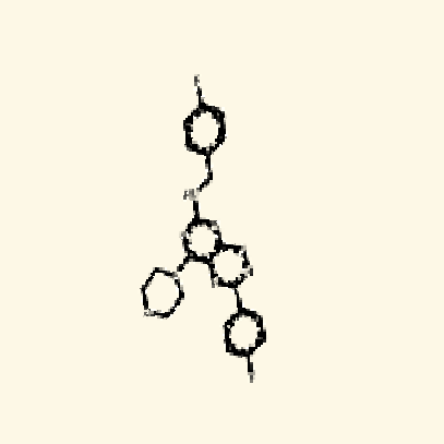 Fc1ccc(CNc2nc(N3CCOCC3)c3nc(-c4ccc(F)cc4)nnc3n2)cc1